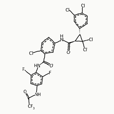 O=C(Nc1c(F)cc(NC(=O)C(F)(F)F)cc1F)c1cc(NC(=O)[C@H]2[C@H](c3ccc(Cl)c(Cl)c3)C2(Cl)Cl)ccc1Cl